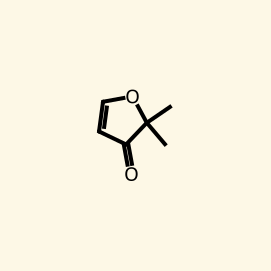 CC1(C)OC=CC1=O